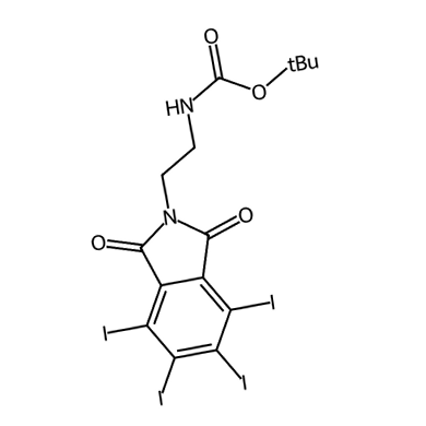 CC(C)(C)OC(=O)NCCN1C(=O)c2c(I)c(I)c(I)c(I)c2C1=O